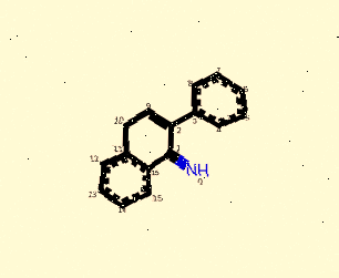 N=C1C(c2ccccc2)=CCc2ccccc21